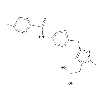 Cc1ccc(C(=O)Nc2ccc(Cn3nc(C)c(CC(O)O)c3C)cc2)cc1